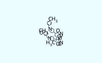 CCC(CCC(C(=O)c1ncco1)C1CCN(Cc2ccc(C)cc2)CC1)(C(=O)c1ncco1)C1CCN(Cc2cccc(OC)c2)CC1